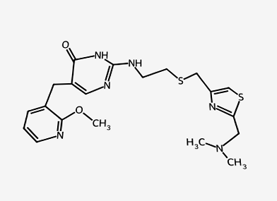 COc1ncccc1Cc1cnc(NCCSCc2csc(CN(C)C)n2)[nH]c1=O